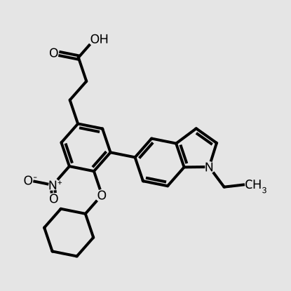 CCn1ccc2cc(-c3cc(CCC(=O)O)cc([N+](=O)[O-])c3OC3CCCCC3)ccc21